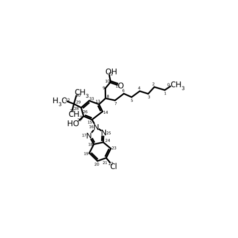 CCCCCCCCC(CC(=O)O)c1cc(-n2nc3ccc(Cl)cc3n2)c(O)c(C(C)(C)C)c1